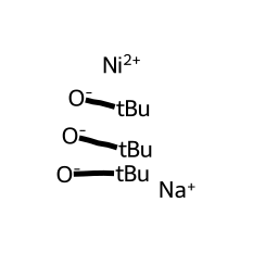 CC(C)(C)[O-].CC(C)(C)[O-].CC(C)(C)[O-].[Na+].[Ni+2]